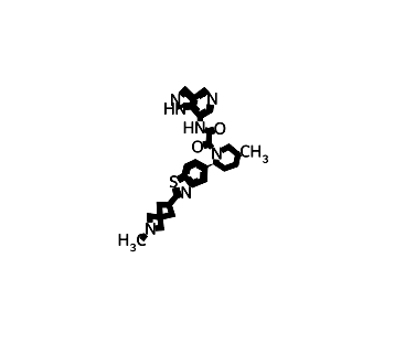 CC1CC[C@H](c2ccc3sc(C4CC5(C4)CN(C)C5)nc3c2)N(C(=O)C(=O)Nc2cncc3cn[nH]c23)C1